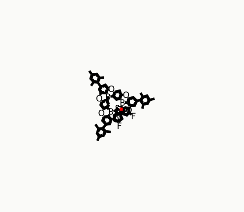 Cc1cc(C)c(-c2cc3c4c(c2)Oc2cc5c(cc2B4c2cc4c(cc2O3)Oc2cc(-c3c(C)cc(C)cc3C)cc3c2B4c2sc4ccc(F)cc4c2O3)B2c3sc4ccc(F)cc4c3Oc3cc(-c4c(C)cc(C)cc4C)cc(c32)O5)c(C)c1